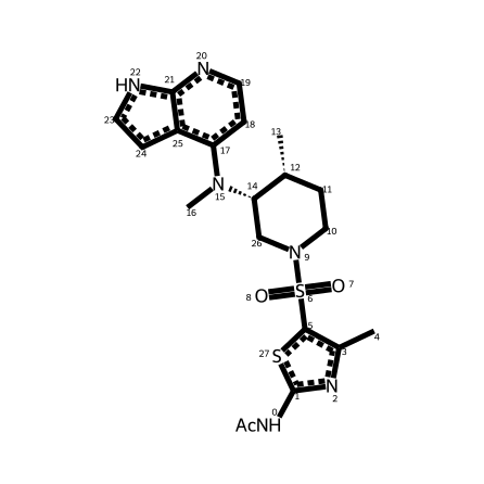 CC(=O)Nc1nc(C)c(S(=O)(=O)N2CC[C@@H](C)[C@@H](N(C)c3ccnc4[nH]ccc34)C2)s1